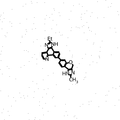 CCc1nc2c3cccnc3c3cc(-c4ccc5c(c4)OCc4nc(C)[nH]c4-5)ccc3c2[nH]1